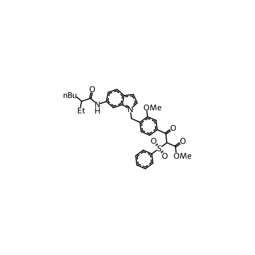 CCCCC(CC)C(=O)Nc1ccc2ccn(Cc3ccc(C(=O)C(C(=O)OC)S(=O)(=O)c4ccccc4)cc3OC)c2c1